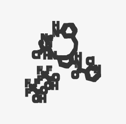 O=C(Nc1ccc2cc1CCc1cccc(c1)Nc1ncc(Cl)c(n1)N2)c1cccnc1Cl.O=C(O)C(F)(F)F.O=C(O)C(F)(F)F